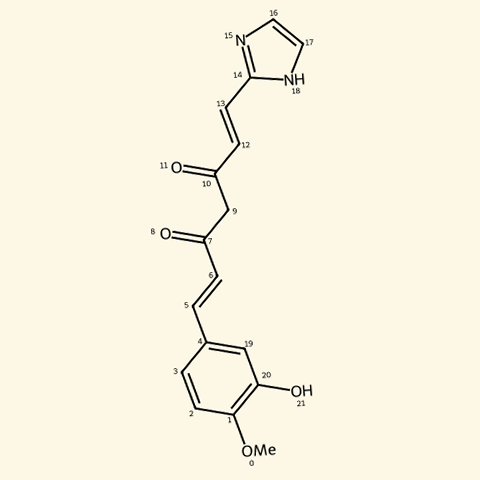 COc1ccc(C=CC(=O)CC(=O)C=Cc2ncc[nH]2)cc1O